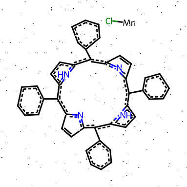 C1=Cc2nc1c(-c1ccccc1)c1ccc([nH]1)c(-c1ccccc1)c1nc(c(-c3ccccc3)c3ccc([nH]3)c2-c2ccccc2)C=C1.[Cl][Mn]